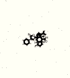 CC(C)C1=CC2CC3(C=O)[C@@H]4CC[C@@H](C)[C@H]4CC2([C@H]2C[C@@H](C4CCCCC4)[C@H](F)O2)[C@]13C(=O)O